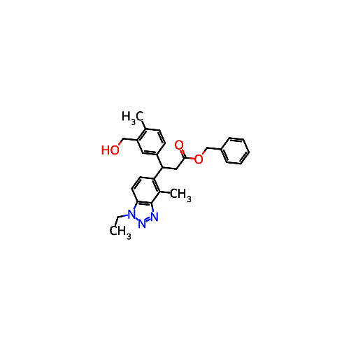 CCn1nnc2c(C)c(C(CC(=O)OCc3ccccc3)c3ccc(C)c(CO)c3)ccc21